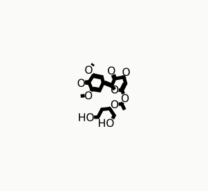 COC1=CC(=C2OC(OC(C)OC(CO)CCO)=CC(=O)C2=O)C=C(OC)C1=O